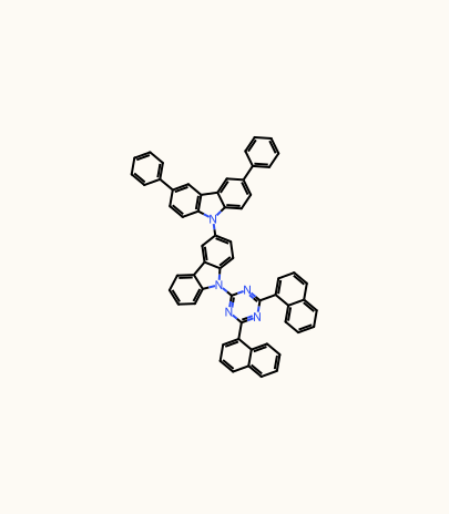 c1ccc(-c2ccc3c(c2)c2cc(-c4ccccc4)ccc2n3-c2ccc3c(c2)c2ccccc2n3-c2nc(-c3cccc4ccccc34)nc(-c3cccc4ccccc34)n2)cc1